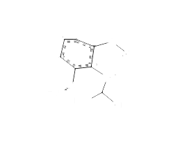 COc1cccc(OC)c1OC(C)C